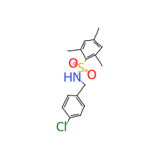 Cc1cc(C)c(S(=O)(=O)NCc2ccc(Cl)cc2)c(C)c1